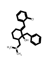 CN(C)CC1CCCC(=Cc2ccccc2Cl)C1(O)Cc1ccccc1